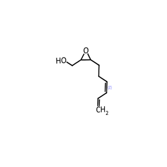 C=C/C=C\CCC1OC1CO